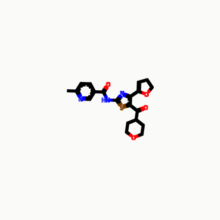 Cc1ccc(C(=O)Nc2nc(C3=CCCO3)c(C(=O)C3CCOCC3)s2)cn1